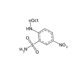 CCCCCCCCNc1ccc([N+](=O)[O-])cc1S(N)(=O)=O